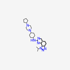 CC(C)n1nnc2ccc3cnc(NC4CCC(N5CCN(C6CCCC6)CC5)CC4)nc3c21